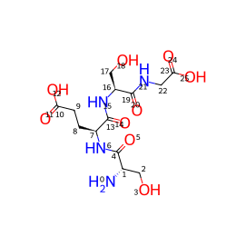 N[C@@H](CO)C(=O)N[C@@H](CCC(=O)O)C(=O)N[C@@H](CO)C(=O)NCC(=O)O